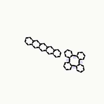 c1ccc2/c(c1)=c1/cccc/c1=c1\cccc\c1=c1/cccc/c1=2.c1ccc2cc3cc4cc5ccccc5cc4cc3cc2c1